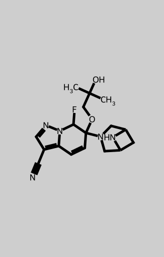 CC(C)(O)COC1(N2CC3CC(C2)N3)C=Cc2c(C#N)cnn2C1F